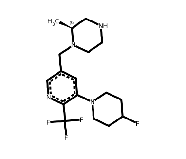 C[C@H]1CNCCN1Cc1cnc(C(F)(F)F)c(N2CCC(F)CC2)c1